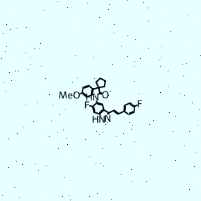 COc1ccc(C2(C(=O)Nc3cc4c(/C=C/c5ccc(F)cc5)n[nH]c4cc3F)CCCC2)cc1